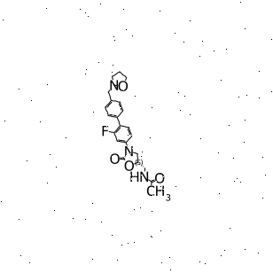 CC(=O)NC[C@H]1CN(c2ccc(-c3ccc(CN4CCCO4)cc3)c(F)c2)C(=O)O1